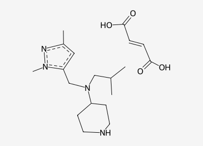 Cc1cc(CN(CC(C)C)C2CCNCC2)n(C)n1.O=C(O)C=CC(=O)O